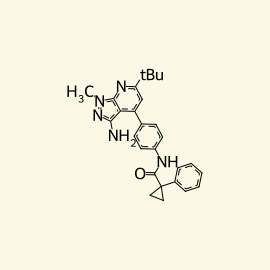 Cn1nc(N)c2c(-c3ccc(NC(=O)C4(c5ccccc5)CC4)cc3)cc(C(C)(C)C)nc21